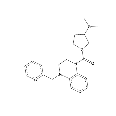 CN(C)C1CCN(C(=O)N2CCN(Cc3ccccn3)c3ccccc32)C1